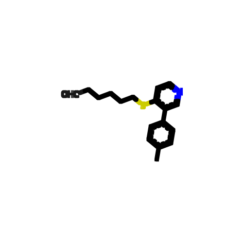 Cc1ccc(-c2cnccc2SCCCCCC=O)cc1